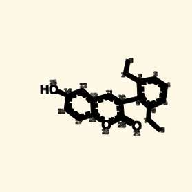 CCc1cccc(CC)c1-c1cc2cc(O)ccc2oc1=O